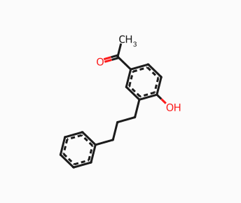 CC(=O)c1ccc(O)c(CCCc2ccccc2)c1